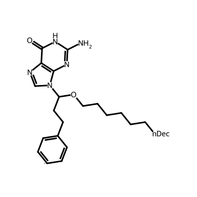 CCCCCCCCCCCCCCCCOC(CCc1cc[c]cc1)n1cnc2c(=O)[nH]c(N)nc21